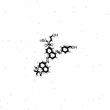 CCCCN(CCO)S(=O)(=O)c1ccc2c(N=Nc3ccc4c5c(cccc35)N(C)C(C)(C)N4C)ccc(/N=N/c3ccc(CO)cc3)c2c1